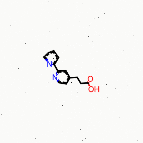 O=C(O)CCc1ccnc(-c2ccccn2)c1